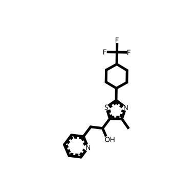 Cc1nc(C2CCC(C(F)(F)F)CC2)sc1C(O)Cc1ccccn1